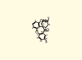 COc1cccc2c1C1(CCN(C)CC1)C(=O)c1cc(C)ccc1O2